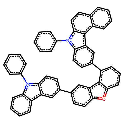 c1ccc(-n2c3ccccc3c3cc(-c4ccc5oc6cccc(-c7ccc8c(c7)c7c9ccccc9ccc7n8-c7ccccc7)c6c5c4)ccc32)cc1